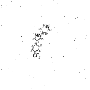 FC(F)(F)c1ccc(-c2cnn(C3CC[N]CC3)c2)cc1